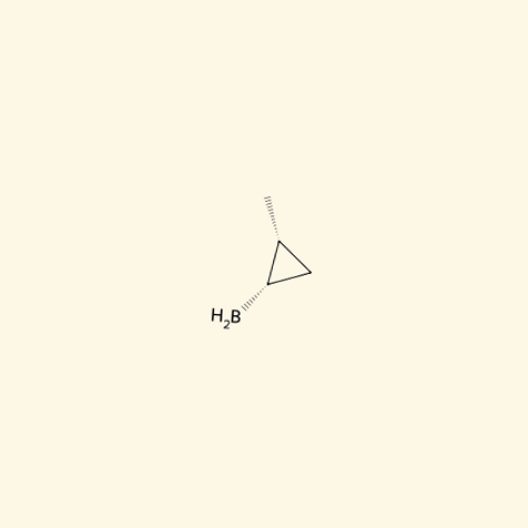 B[C@H]1C[C@H]1C